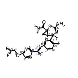 CN(C)C(=O)[C@]12C[C@H]1[C@@](C)(c1cc(/C=C(\F)c3cnc(OCC(F)F)cn3)ccc1F)N=C(N)S2